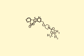 CC(C)(C)OC(=O)N1CCC(OCc2cnc3sc(-c4ccccc4[N+](=O)[O-])nc3c2)CC1